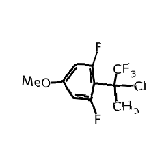 COc1cc(F)c(C(C)(Cl)C(F)(F)F)c(F)c1